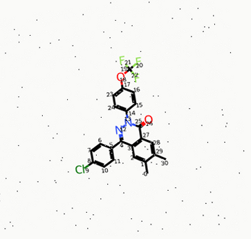 Cc1cc2c(-c3ccc(Cl)cc3)nn(-c3ccc(OC(F)(F)F)cc3)c(=O)c2cc1C